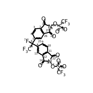 O=C1c2ccc(C(F)(c3ccc4c(c3)C(=O)N(OS(=O)(=O)C(F)(F)F)C4=O)C(F)(F)F)cc2C(=O)N1OS(=O)(=O)C(F)(F)F